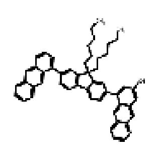 CCCCCCC1(CCCCCC)c2cc(-c3cccc4cc5ccccc5cc34)ccc2-c2ccc(-c3cc(S)cc4cc5ccccc5cc34)cc21